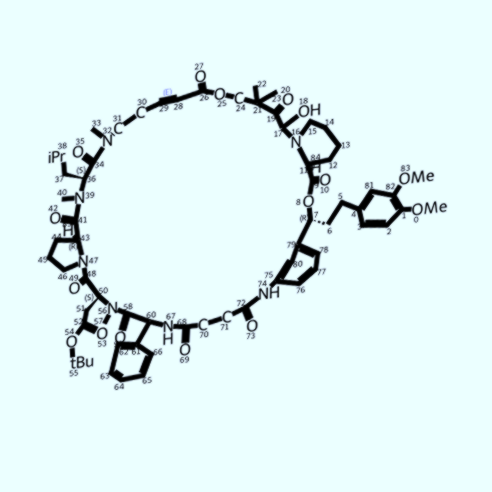 COc1ccc(CC[C@H]2OC(=O)[C@@H]3CCCCN3C(O)C(=O)C(C)(C)COC(=O)/C=C/CCN(C)C(=O)[C@H](CC(C)C)N(C)C(=O)[C@H]3CCCN3C(=O)[C@H](CC(=O)OC(C)(C)C)N(C)C(=O)C(c3ccccc3)NC(=O)CCC(=O)Nc3cccc2c3)cc1OC